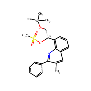 Cc1cc2cccc([C@@H](CO[Si](C)(C)C(C)(C)C)OS(C)(=O)=O)c2nc1-c1ccccc1